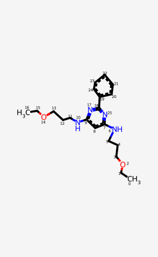 CCOCCCNc1cc(NCCCOCC)nc(-c2ccccc2)n1